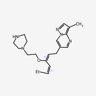 CC/C=C\C(=C/Cc1cnc2c(C)cnn2c1)OCCN1CCNCC1